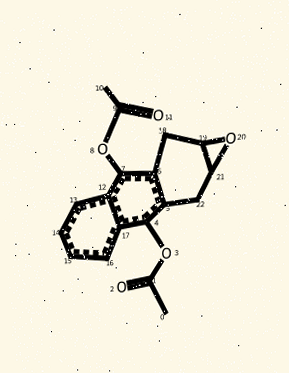 CC(=O)Oc1c2c(c(OC(C)=O)c3ccccc13)CC1OC1C2